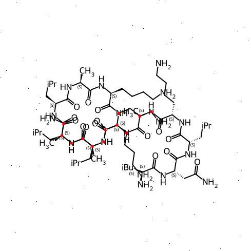 CC[C@H](C)[C@H](N)C(=O)N[C@@H](CC(N)=O)C(=O)N[C@@H](CC(C)C)C(=O)N[C@@H](CCCCN)C(=O)N[C@@H](C)C(=O)N[C@@H](CCCCN)C(=O)N[C@@H](C)C(=O)N[C@@H](C)C(=O)N[C@@H](CC(C)C)C(=O)N[C@@H](C)C(=O)N[C@@H](CCCCN)C(=O)N[C@@H](CCCCN)C(=O)N[C@@H](CC(C)C)C(=O)N[C@@H](CC(C)C)C(N)=O